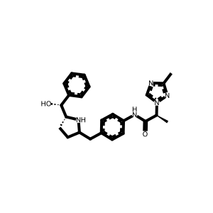 Cc1ncn([C@@H](C)C(=O)Nc2ccc(CC3CC[C@H]([C@H](O)c4ccccc4)N3)cc2)n1